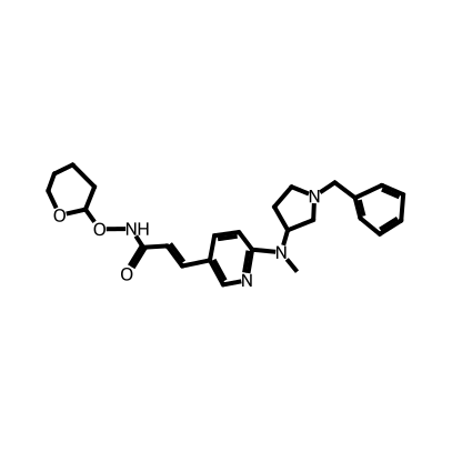 CN(c1ccc(C=CC(=O)NOC2CCCCO2)cn1)C1CCN(Cc2ccccc2)C1